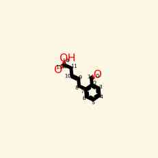 O=Cc1ccccc1C/C=C/CC(=O)O